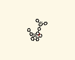 c1ccc(-c2ccc3nc4n(-c5c(-c6ccccc6)cccc5-c5ccccc5)c5ccc(-c6ccc(-c7cc(-c8ccccc8)nc(-c8ccccc8)n7)cc6)cc5n4c3c2)cc1